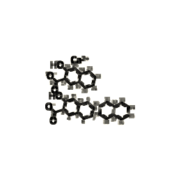 O=C([O-])c1cc2ccccc2cc1O.O=C([O-])c1cc2ccccc2cc1O.[Ca+2].c1ccc2ccccc2c1